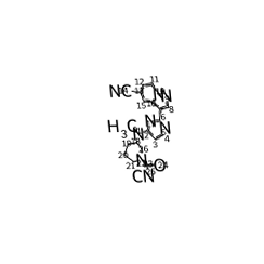 CN(c1ccnc(-c2cnn3ccc(C#N)cc23)n1)[C@@H]1CCCN(C(=O)C#N)C1